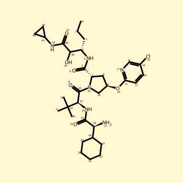 CCC[C@H](NC(=O)[C@@H]1C[C@@H](Oc2ccc(Cl)cn2)CN1C(=O)[C@@H](NC(=O)[C@@H](N)C1CCCCC1)C(C)(C)C)C(O)C(=O)NC1CC1